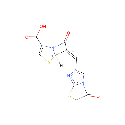 O=C(O)C1=CS[C@@H]2/C(=C\c3cn4c(n3)SCC4=O)C(=O)N12